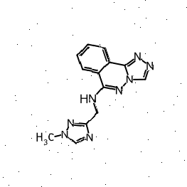 Cn1cnc(CNc2nn3cnnc3c3ccccc23)n1